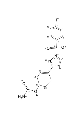 Cc1ccc(S(=O)(=O)n2ccc(C3=CCC(OC(N)=O)CC3)n2)cc1